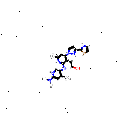 Cc1cc(-n2ccc(-c3nccs3)n2)c(CCO)c(Nc2cnc(N(C)C)cc2C)n1